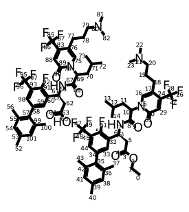 CCOC(=O)C[C@H](NC(=O)C(CC(C)C)n1cc(CCCN(C)C)c(C(F)(F)F)cc1=O)c1cc(-c2c(C)cc(C)cc2C)cc(C(F)(F)F)c1F.Cc1cc(C)c(-c2cc([C@H](CC(=O)O)NC(=O)C(CC(C)C)n3cc(CCCN(C)C)c(C(F)(F)F)cc3=O)c(F)c(C(F)(F)F)c2)c(C)c1